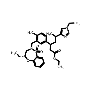 CCOC(=O)CC(CC(C)c1cn(CC)nn1)c1ccc(C)c(CN2C[C@@H](CC)Oc3ccccc3S2(=O)=O)c1